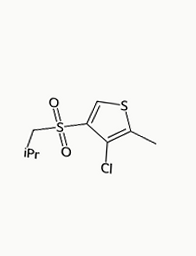 Cc1scc(S(=O)(=O)CC(C)C)c1Cl